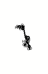 C[C@H]1CCc2cc(CCCCCCc3ccc4c(c3)n(C)c(=O)n4C3CCC(=O)NC3=O)cc3c2N(C1=O)[C@H](C(=O)N[C@@H](CCC(N)=O)C(=O)NCc1ccc(S(C)(=O)=O)cc1)C3